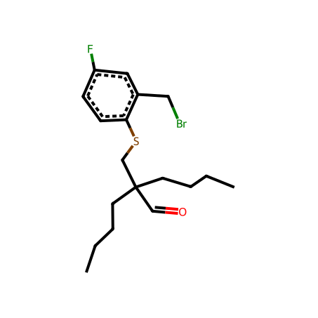 CCCCC(C=O)(CCCC)CSc1ccc(F)cc1CBr